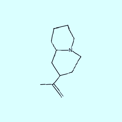 C=C(C)C1CCN2CCCCC2C1